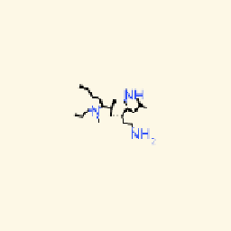 C=CCCC(C(=C)C[C@@H](CCN)[C@H](CNC)CC(=C)C)N(C)CCC